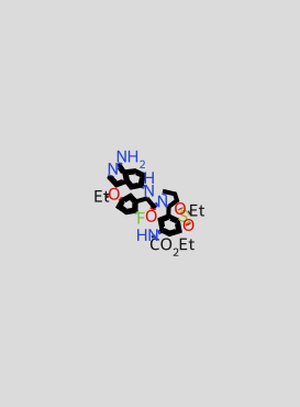 CCOC(=O)Nc1ccc(S(=O)(=O)CC)c(C2CCCN2C(=O)C(Nc2ccc3c(N)nccc3c2)c2cc(OCC)ccc2F)c1